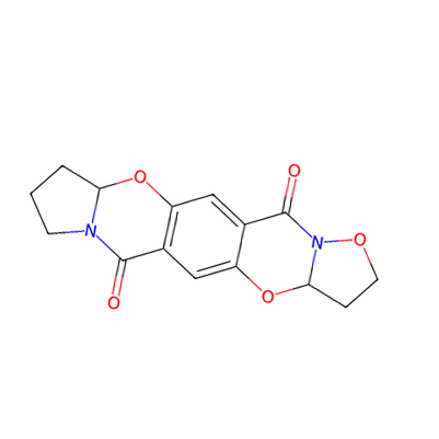 O=C1c2cc3c(cc2OC2CCCN12)C(=O)N1OCCC1O3